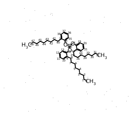 CCCCCCCCCc1ccccc1OB(Oc1ccccc1CCCCCCCCC)Oc1ccccc1CCCCCCCCC